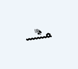 Br.CCCCCCCCCCCCCCC1CCCC(C)C1.c1c[nH]cn1